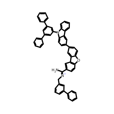 N/C(=N\Cc1cccc(-c2ccccc2)c1)c1ccc2oc3ccc(-c4ccc5c(c4)c4ccccc4n5-c4cc(-c5ccccc5)cc(-c5ccccc5)c4)cc3c2c1